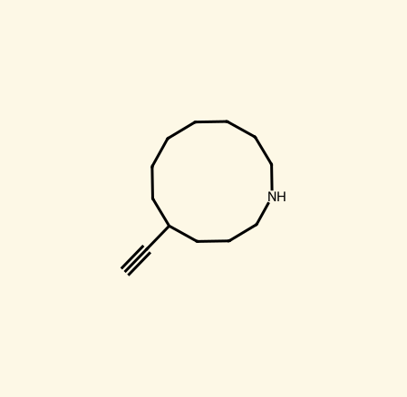 C#CC1CCCCCCCNCCC1